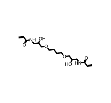 C=CC(=O)NCC(O)COCCCCOCC(O)CNC(=O)C=C